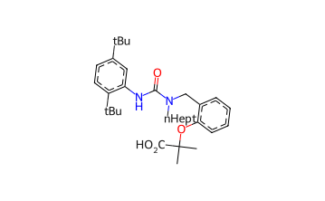 CCCCCCCN(Cc1ccccc1OC(C)(C)C(=O)O)C(=O)Nc1cc(C(C)(C)C)ccc1C(C)(C)C